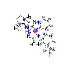 Cc1noc(N2C[C@H]3CC[C@@H](C2)C3Nc2nc3c(-c4ccc(C(F)(F)F)cc4)cccn3n2)n1